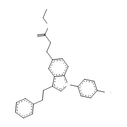 CCOC(=O)CCc1ccc2c(c1)c(CCc1ccccc1)cn2-c1ccc(O)cc1